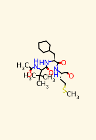 CSCC[C@@H](C=O)NC(=O)[C@H](CC1CCCCC1)NC(=O)C(NC(C)=O)C(C)(C)C